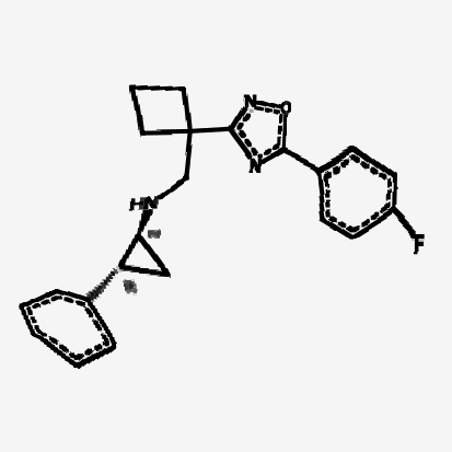 Fc1ccc(-c2nc(C3(CN[C@H]4C[C@@H]4c4ccccc4)CCC3)no2)cc1